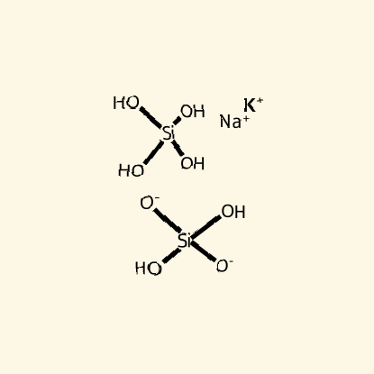 O[Si](O)(O)O.[K+].[Na+].[O-][Si]([O-])(O)O